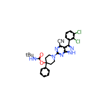 CC(C)(C)NC(=O)OC1(c2ccccc2)CCN(c2nc(C#N)c3c(-c4cccc(Cl)c4Cl)n[nH]c3n2)CC1